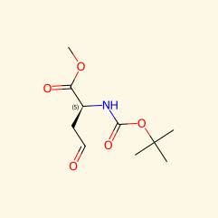 COC(=O)[C@H](CC=O)NC(=O)OC(C)(C)C